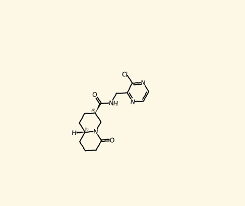 O=C(NCc1nccnc1Cl)[C@@H]1CC[C@H]2CCCC(=O)N2C1